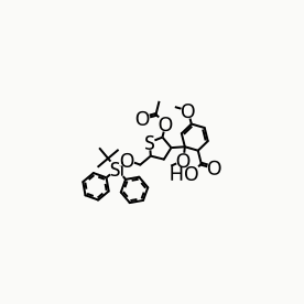 COC1=CC(OC)(C2CC(CO[Si](c3ccccc3)(c3ccccc3)C(C)(C)C)SC2OC(C)=O)C(C(=O)O)C=C1